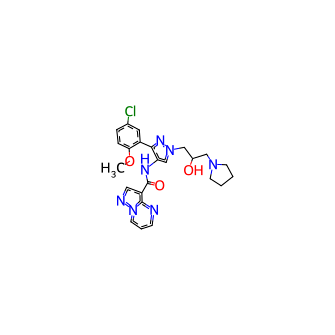 COc1ccc(Cl)cc1-c1nn(CC(O)CN2CCCC2)cc1NC(=O)c1cnn2cccnc12